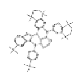 CC(C)(C)c1ccc(N2c3ccnc4c3B(c3cc5c(cc3N4c3ccc4c(c3)C(C)(C)CCC4(C)C)C(C)(C)CCC5(C)C)c3sc4ccc(C(C)(C)C)cc4c32)cc1